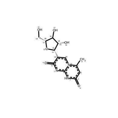 Cc1cc(=O)[nH]c2nc(=O)c([C@@H]3O[C@H](CO)C(O)[C@@H]3O)cn12